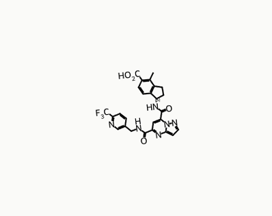 Cc1c(C(=O)O)ccc2c1CC[C@@H]2NC(=O)c1cc(C(=O)NCc2ccc(C(F)(F)F)nc2)nc2ccnn12